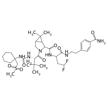 CC1(C)C2CN(C(=O)[C@@H](NC(=O)NC3(CS(C)(=O)=O)CCCCC3)C(C)(C)C)C(C(=O)NC(CC(F)F)C(=O)NCCc3ccc(C(N)=O)cc3)C21